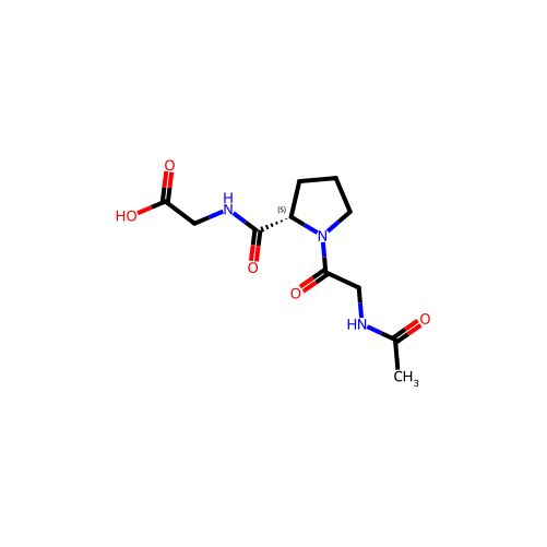 CC(=O)NCC(=O)N1CCC[C@H]1C(=O)NCC(=O)O